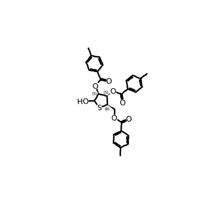 Cc1ccc(C(=O)OC[C@H]2SC(O)[C@@H](OC(=O)c3ccc(C)cc3)[C@@H]2OC(=O)c2ccc(C)cc2)cc1